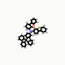 c1ccc(C2(c3ccccc3)c3ccccc3-c3cc(N(c4ccc5c(c4)sc4ccccc45)c4cccc5c4oc4ccccc45)ccc32)cc1